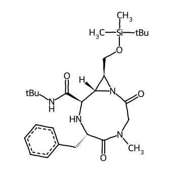 CN1CC(=O)N2[C@@H]([C@H]2CO[Si](C)(C)C(C)(C)C)[C@H](C(=O)NC(C)(C)C)N[C@@H](Cc2ccccc2)C1=O